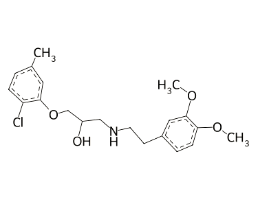 COc1ccc(CCNCC(O)COc2cc(C)ccc2Cl)cc1OC